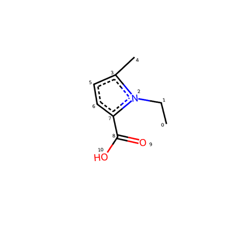 CCn1c(C)ccc1C(=O)O